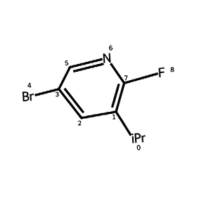 CC(C)c1cc(Br)cnc1F